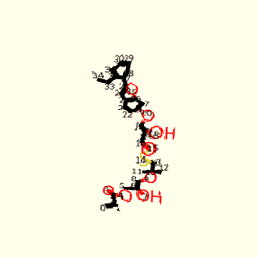 C=CC(=O)OCC(O)COC(C)(C)CSOCC(O)COc1ccc2cc(-c3ccccc3CC)oc2c1